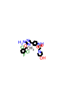 CC(Oc1nc(-c2ccc(NS(=O)(=O)CCN3CCC(O)CC3)cc2)cnc1N)c1c(Cl)ccc(F)c1Cl